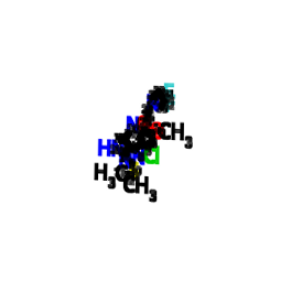 COc1cc(Cl)c(-c2nc(SC(C)C)nc3[nH]cc(C#N)c23)cc1OCCN1CCC(F)(F)C1